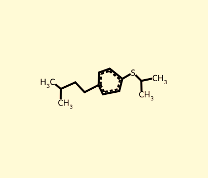 CC(C)CCc1ccc(SC(C)C)cc1